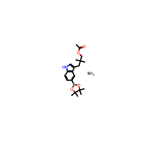 B.CC(=O)OCC(C)(C)Cc1c[nH]c2ccc(B3OC(C)(C)C(C)(C)O3)cc12